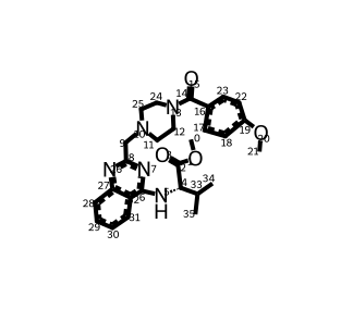 COC(=O)[C@@H](Nc1nc(CN2CCN(C(=O)c3ccc(OC)cc3)CC2)nc2ccccc12)C(C)C